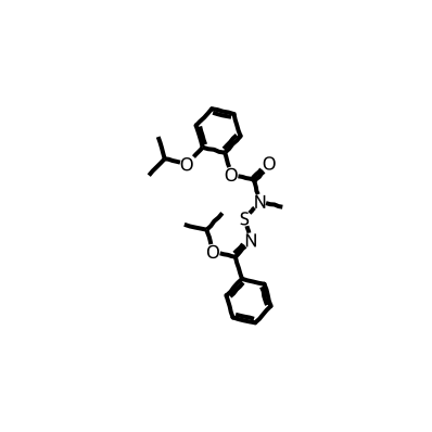 CC(C)OC(=NSN(C)C(=O)Oc1ccccc1OC(C)C)c1ccccc1